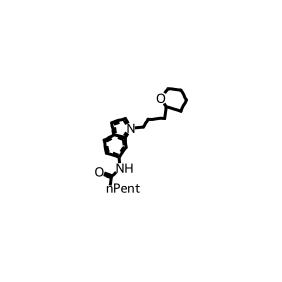 CCCCCC(=O)Nc1ccc2ccn(CCCC3CCCCO3)c2c1